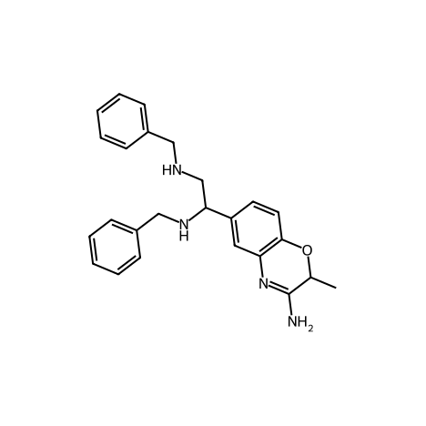 CC1Oc2ccc(C(CNCc3ccccc3)NCc3ccccc3)cc2N=C1N